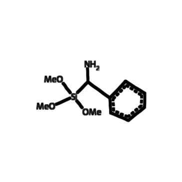 CO[Si](OC)(OC)C(N)c1ccccc1